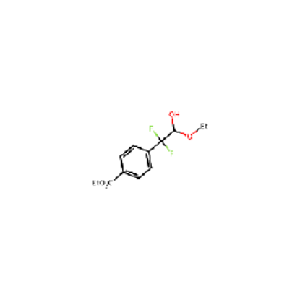 CCOC(=O)c1ccc(C(F)(F)C(O)OCC)cc1